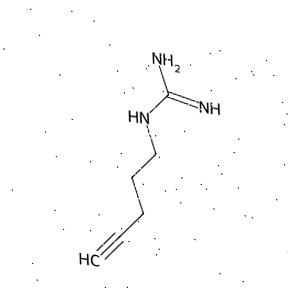 C#CCCCNC(=N)N